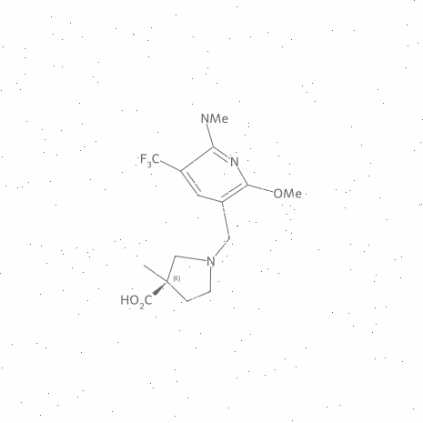 CNc1nc(OC)c(CN2CC[C@@](C)(C(=O)O)C2)cc1C(F)(F)F